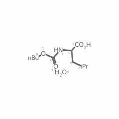 CCCCOC(=O)NC(CC(C)C)C(=O)O.O